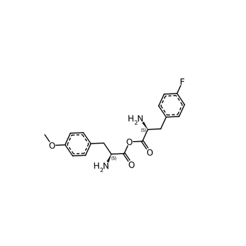 COc1ccc(C[C@H](N)C(=O)OC(=O)[C@@H](N)Cc2ccc(F)cc2)cc1